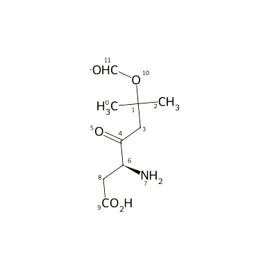 CC(C)(CC(=O)[C@@H](N)CC(=O)O)O[C]=O